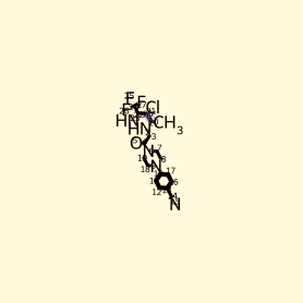 C/C(NCC(=O)N1CCN(c2ccc(C#N)cc2)CC1)=C(\Cl)C(=N)C(F)(F)F